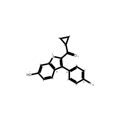 O=C(c1sc2cc(O)ccc2c1-c1ccc(F)cc1)C1CC1